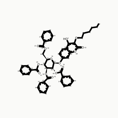 CCCCCCOc1c(O)c2ccc(O[C@@H]3O[C@H](COC(=O)c4ccccc4)[C@@H](OC(=O)c4ccccc4)[C@H](OC(=O)c4ccccc4)[C@H]3OC(=O)c3ccccc3)cc2oc1=O